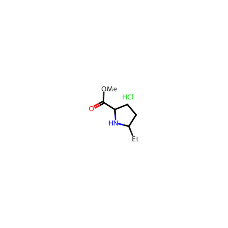 CCC1CCC(C(=O)OC)N1.Cl